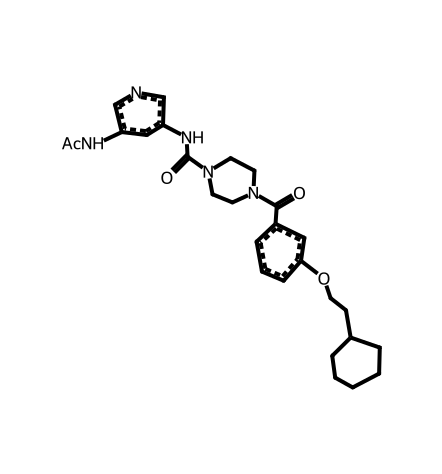 CC(=O)Nc1cncc(NC(=O)N2CCN(C(=O)c3cccc(OCCC4CCCCC4)c3)CC2)c1